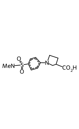 CNS(=O)(=O)c1ccc(N2CCC(C(=O)O)C2)cc1